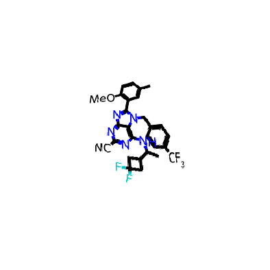 COc1ccc(C)cc1-c1nc2nc(C#N)nc(NC(C)C3CC(F)(F)C3)c2n1Cc1ccc(C(F)(F)F)cc1